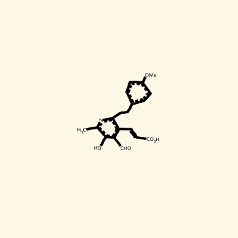 COc1ccc(CCc2nc(C)c(O)c(C=O)c2C=CC(=O)O)cc1